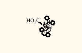 CN(C(=O)N(c1ccccc1)c1ccccc1)[C@@H](C/C=C/C(=O)O)CNC(=O)N1c2ccccc2C=Cc2ccccc21